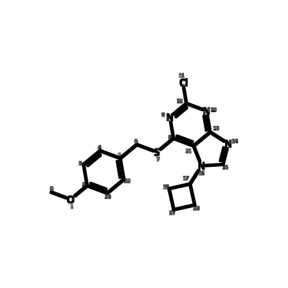 COc1ccc(CSc2nc(Cl)nc3ncn(C4CCC4)c23)cc1